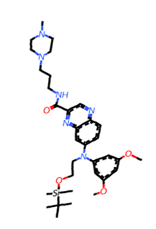 COc1cc(OC)cc(N(CCO[Si](C)(C)C(C)(C)C)c2ccc3ncc(C(=O)NCCCN4CCN(C)CC4)nc3c2)c1